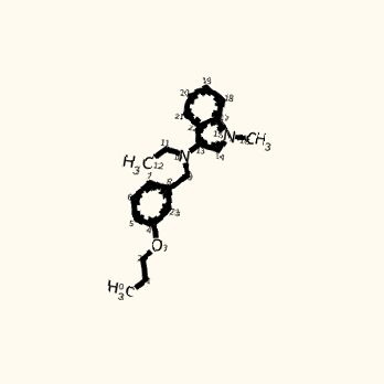 CCCOc1cccc(CN(CC)c2cn(C)c3ccccc23)c1